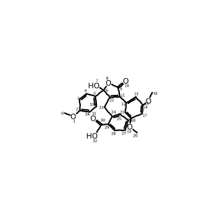 COc1ccc(C2(O)OC(=O)C(c3cc(OC)cc(OC)c3)=C2Cc2ccccc2C(=O)O)cc1